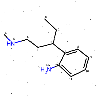 CCC(CCNC)c1ccccc1N